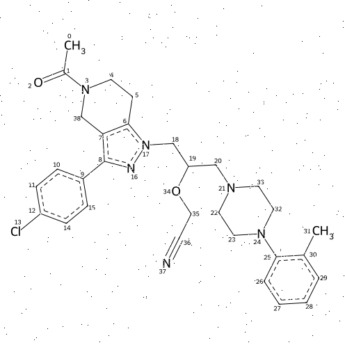 CC(=O)N1CCc2c(c(-c3ccc(Cl)cc3)nn2CC(CN2CCN(c3ccccc3C)CC2)OCC#N)C1